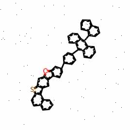 c1ccc2c(-c3c4ccccc4c(-c4ccc(-c5ccc6c(c5)oc5cc7sc8ccc9ccccc9c8c7cc56)cc4)c4ccccc34)cccc2c1